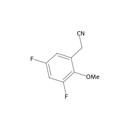 COc1c(F)cc(F)cc1CC#N